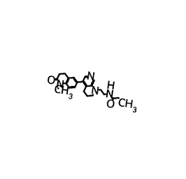 CCC(=O)NCCN1CCCc2c(-c3ccc4c(c3)CCC(=O)N4C)cncc21